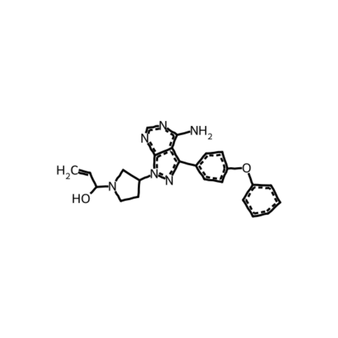 C=CC(O)N1CCC(n2nc(-c3ccc(Oc4ccccc4)cc3)c3c(N)ncnc32)C1